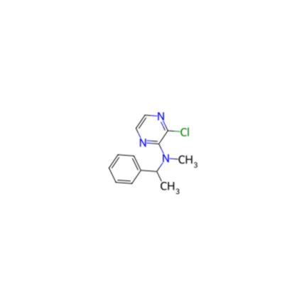 CC(c1ccccc1)N(C)c1nccnc1Cl